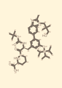 Cc1nc2ccc(-c3cc(C[C@H](NC(=O)OC(C)(C)C)C(=O)N4CCC[C@@H](C(=O)O)N4)cc(O[Si](C(C)C)(C(C)C)C(C)C)c3)cc2n1CC(C)(C)CO